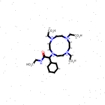 O=C(O)CNC(=O)C(C1CCCCC1)N1CCN(CC(=O)O)CCN(CC(=O)O)CCN(CC(=O)O)CC1